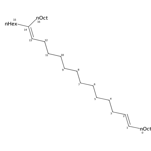 CCCCCCCCC=CCCCCCCCCCCC=C(CCCCCC)CCCCCCCC